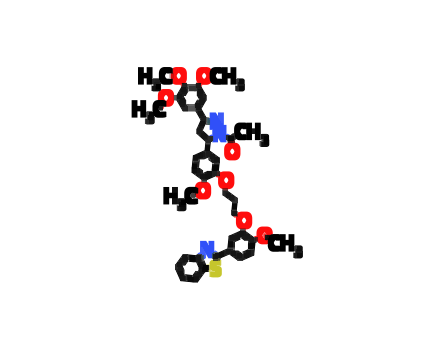 COc1ccc(-c2nc3ccccc3s2)cc1OCCCOc1cc(C2CC(c3cc(OC)c(OC)c(OC)c3)=NN2C(C)=O)ccc1OC